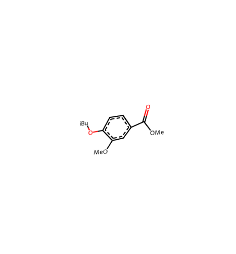 CCC(C)Oc1ccc(C(=O)OC)cc1OC